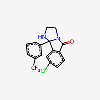 O=C1c2ccc(Cl)cc2C2(c3cccc(C(F)(F)F)c3)NCCN12